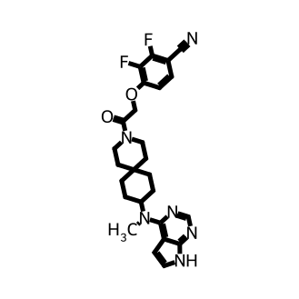 CN(c1ncnc2[nH]ccc12)C1CCC2(CC1)CCN(C(=O)COc1ccc(C#N)c(F)c1F)CC2